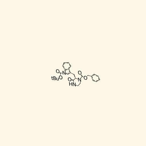 CC(C)(C)OC(=O)n1cc(C[C@@H]2C(=O)NCCN2C(=O)OCc2ccccc2)c2ccccc21